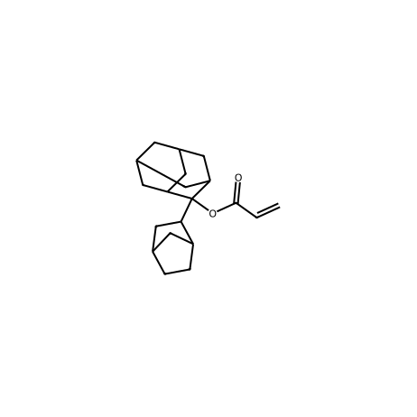 C=CC(=O)OC1(C2CC3CCC2C3)C2CC3CC(C2)CC1C3